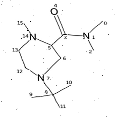 CN(C)C(=O)C1CN(C(C)(C)C)CCN1C